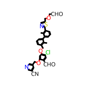 Cc1c(COc2cc(OCc3cncc(C#N)c3)c(C=O)cc2Cl)cccc1-c1cccc(-c2ncc(COCC=O)s2)c1C